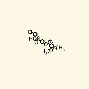 COc1cc2nccc(Oc3ccc(N(Cc4ccc(Cl)cc4)C(=O)O)cc3)c2cc1OC